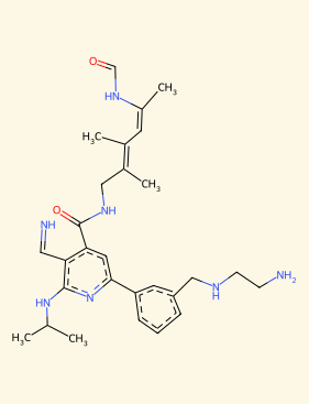 C/C(=C/C(C)=C(\C)CNC(=O)c1cc(-c2cccc(CNCCN)c2)nc(NC(C)C)c1C=N)NC=O